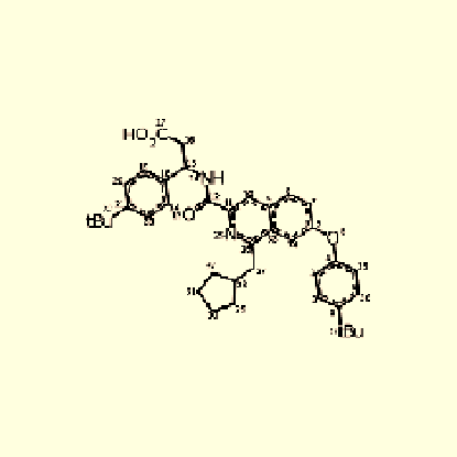 CC(C)(C)c1ccc(Oc2ccc3cc(C(=O)NC(CC(=O)O)c4ccc(C(C)(C)C)cc4)nc(CC4CCCC4)c3c2)cc1